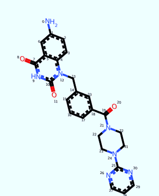 Nc1ccc2c(c1)c(=O)[nH]c(=O)n2Cc1cccc(C(=O)N2CCN(c3ncccn3)CC2)c1